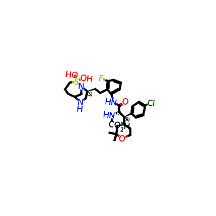 CC1(C)C[C@@H]([C@H](c2ccc(Cl)cc2)[C@H](NC(=O)O)C(=O)Nc2cccc(F)c2CC[C@H]2CNC3CCCS(O)(O)N2C3)CCO1